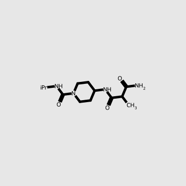 C[C](C(N)=O)C(=O)NC1CCN(C(=O)NC(C)C)CC1